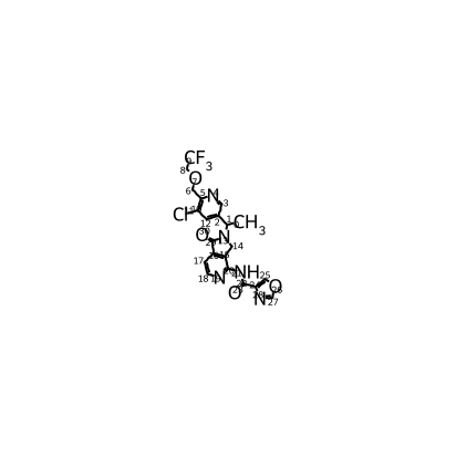 CC(c1cnc(COCC(F)(F)F)c(Cl)c1)N1Cc2c(ccnc2NC(=O)c2cocn2)C1=O